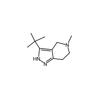 CN1CCc2n[nH]c(C(C)(C)C)c2C1